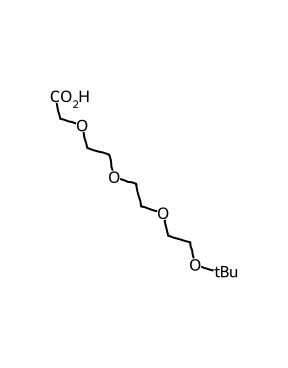 CC(C)(C)OCCOCCOCCOCC(=O)O